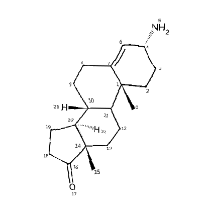 C[C@]12CC[C@@H](N)C=C1CC[C@@H]1C2CC[C@]2(C)C(=O)CC[C@@H]12